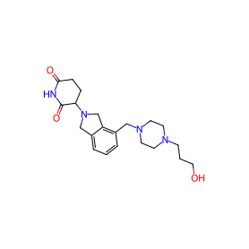 O=C1CCC(N2Cc3cccc(CN4CCN(CCCO)CC4)c3C2)C(=O)N1